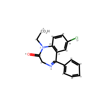 O=C(O)CN1C(=O)CN=C(c2ccccc2)c2cc(Cl)ccc21